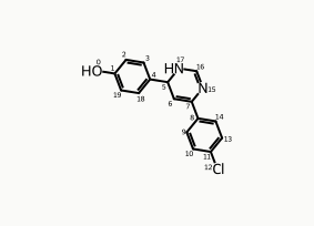 Oc1ccc(C2C=C(c3ccc(Cl)cc3)N=CN2)cc1